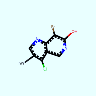 CCCc1cnc2c(Br)c(O)ncc2c1Cl